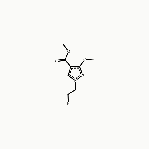 COC(=O)c1cn(CCF)nc1OC